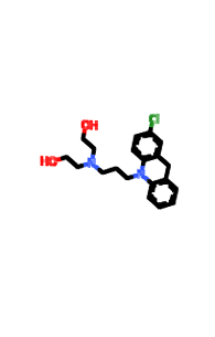 OCCN(CCO)CCCN1c2ccccc2Cc2cc(Cl)ccc21